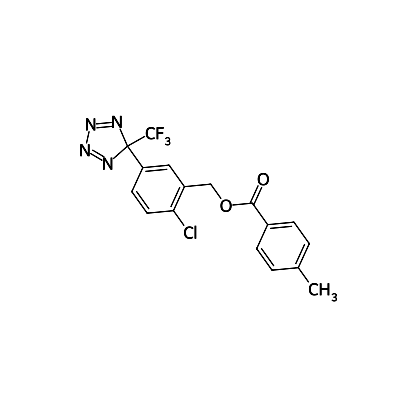 Cc1ccc(C(=O)OCc2cc(C3(C(F)(F)F)N=NN=N3)ccc2Cl)cc1